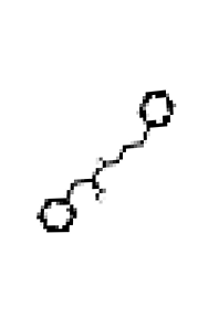 O=C(Cc1ccccc1)OCCCc1ccccc1